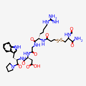 N=C(N)NCCCC[C@H](NC(=O)CCSSCC(NC=O)C(N)=O)C(=O)NCC(=O)N[C@@H](CC(=O)O)C(=O)N[C@@H](Cc1c[nH]c2ccccc12)C(=O)N1CCCC1